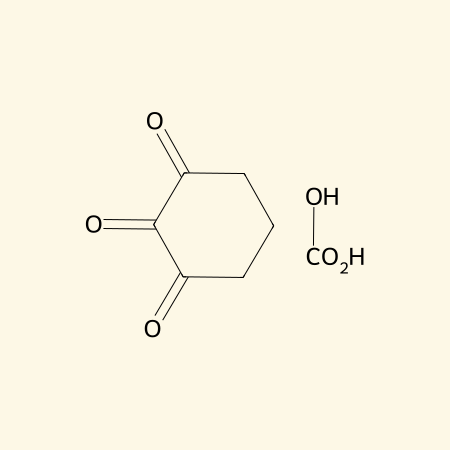 O=C(O)O.O=C1CCCC(=O)C1=O